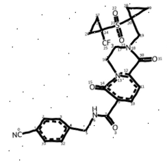 N#Cc1ccc(CNC(=O)c2ccc3n(c2=O)CCN(CC2(S(=O)(=O)C4(C(F)(F)F)CC4)CC2)C3=O)cc1